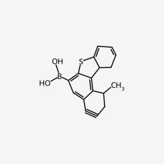 CC1CC#Cc2cc(B(O)O)c3c(c21)C1CC=CC=C1S3